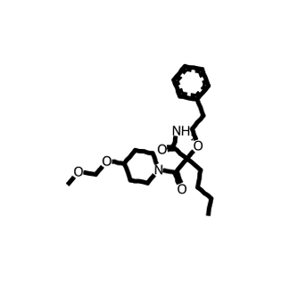 CCCCC(OCCc1ccccc1)(C(N)=O)C(=O)N1CCC(OCOC)CC1